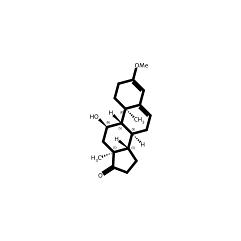 COC1=CC2=CC[C@@H]3[C@H]([C@H](O)C[C@]4(C)C(=O)CC[C@@H]34)[C@@]2(C)CC1